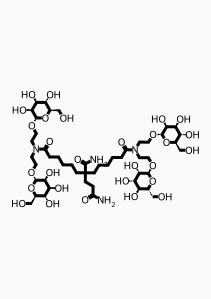 NC(=O)CCC(CCCCCC(=O)N(CCO[C@H]1O[C@H](CO)[C@@H](O)[C@H](O)[C@@H]1O)CCO[C@H]1O[C@H](CO)[C@@H](O)[C@H](O)[C@@H]1O)(CCCCCC(=O)N(CCO[C@H]1O[C@H](CO)[C@@H](O)[C@H](O)[C@@H]1O)CCO[C@H]1O[C@H](CO)[C@@H](O)[C@H](O)[C@@H]1O)C(N)=O